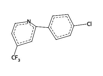 FC(F)(F)c1ccnc(-c2ccc(Cl)cc2)c1